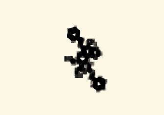 Cc1c(OCc2ccccc2)c2c(c3c1OCO3)[C@H](CCOCc1ccccc1)N(C(=O)OC(C)(C)C)[C@H](CO)C2